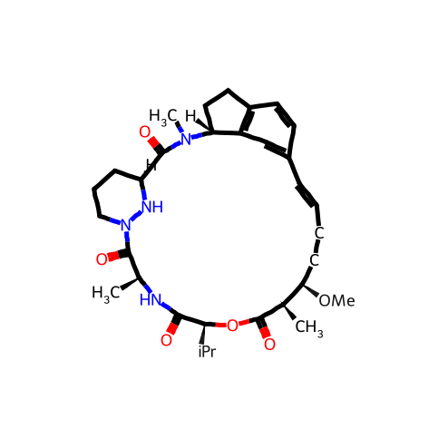 CO[C@@H]1CC/C=C/c2ccc3c(c2)[C@@H](CC3)N(C)C(=O)[C@@H]2CCCN(N2)C(=O)[C@H](C)NC(=O)[C@H](C(C)C)OC(=O)[C@@H]1C